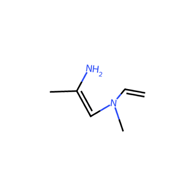 C=CN(C)/C=C(/C)N